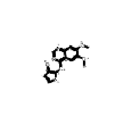 COc1cc2ncnc(Oc3sccc3Cl)c2cc1OC